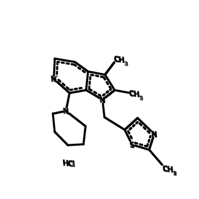 Cc1ncc(Cn2c(C)c(C)c3ccnc(N4CCCCC4)c32)s1.Cl